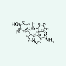 NC(=O)c1cnn2ccc3c2c1-c1ccccc1NC3c1ccc(O)c(F)c1